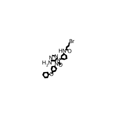 Nc1ncnc2c1n(-c1ccc(Oc3ccccc3)cc1)c(=O)n2-c1cccc(NC(=O)C=CCBr)c1